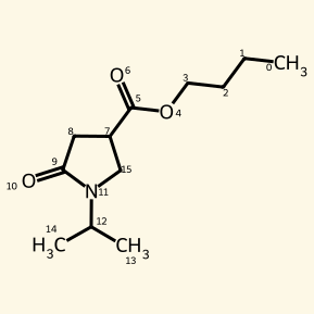 CCCCOC(=O)C1CC(=O)N(C(C)C)C1